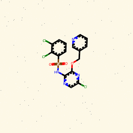 O=S(=O)(Nc1ncc(Cl)nc1OCc1cccnc1)c1cccc(Cl)c1Cl